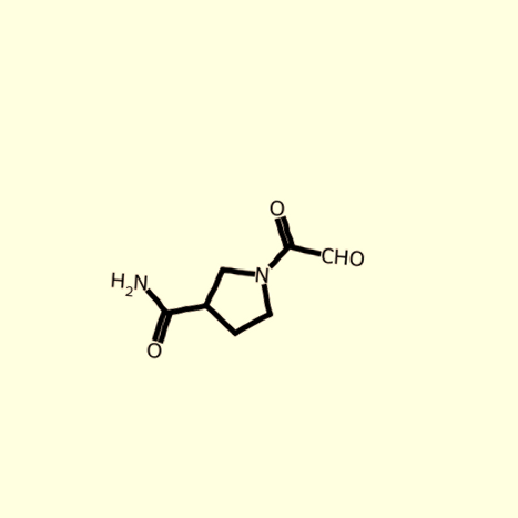 NC(=O)C1CCN(C(=O)C=O)C1